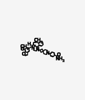 COc1cc(CN2CCN(C3CC4(CCN(c5ccc(C(N)=O)cc5)CC4)C3)[C@H](c3ccccc3C(C)C)C2)cc2ccoc12